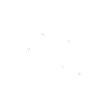 COC(c1c(N)cnc2sc(C)nc12)C(F)(F)F